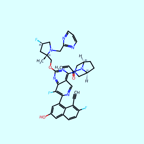 C#Cc1c(F)ccc2cc(O)cc(-c3ncc4c(N5C[C@H]6CC[C@@H](C5)N6C(=O)C=C)nc(OC[C@]5(C)C[C@@H](F)CN5Cc5ncccn5)nc4c3F)c12